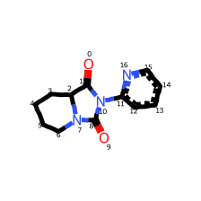 O=C1C2CCCCN2C(=O)N1c1ccccn1